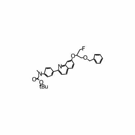 CN(C(=O)OC(C)(C)C)c1ccc(-c2ccc3ccc(OC(CF)COCc4ccccc4)cc3n2)cc1